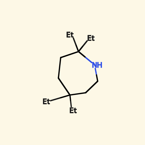 CCC1(CC)CCNC(CC)(CC)CC1